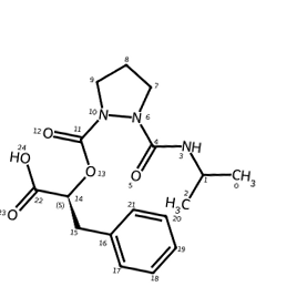 CC(C)NC(=O)N1CCCN1C(=O)O[C@@H](Cc1ccccc1)C(=O)O